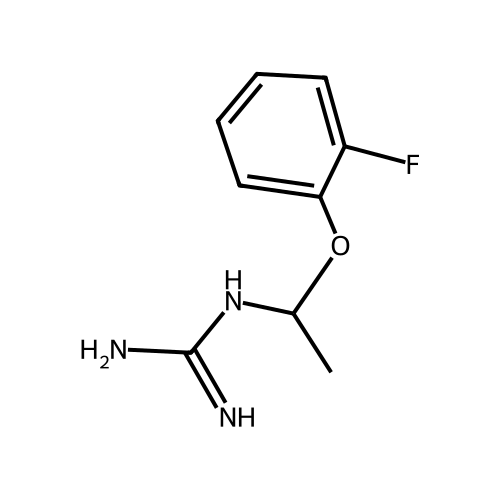 CC(NC(=N)N)Oc1ccccc1F